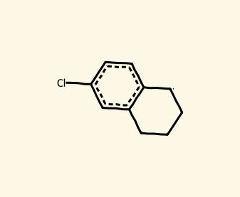 Clc1ccc2c(c1)CCC[CH]2